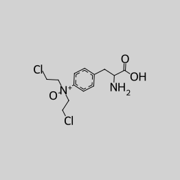 NC(Cc1ccc([N+]([O-])(CCCl)CCCl)cc1)C(=O)O